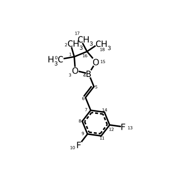 CC1(C)OB(C=Cc2cc(F)cc(F)c2)OC1(C)C